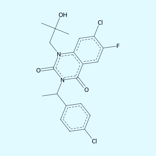 CC(c1ccc(Cl)cc1)n1c(=O)c2cc(F)c(Cl)cc2n(CC(C)(C)O)c1=O